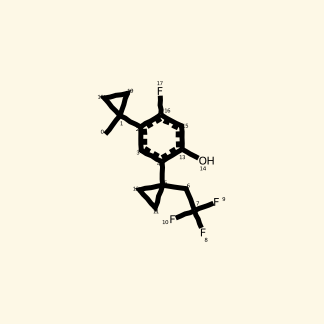 CC1(c2cc(C3(CC(F)(F)F)CC3)c(O)cc2F)CC1